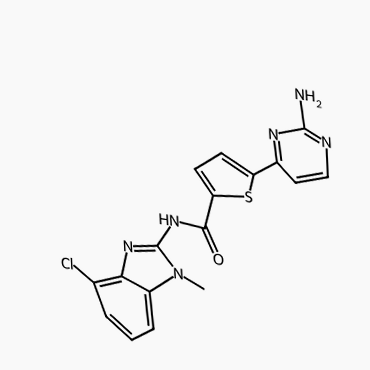 Cn1c(NC(=O)c2ccc(-c3ccnc(N)n3)s2)nc2c(Cl)cccc21